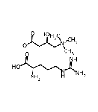 C[N+](C)(C)CC(O)CC(=O)[O-].N=C(N)NCCCC(N)C(=O)O